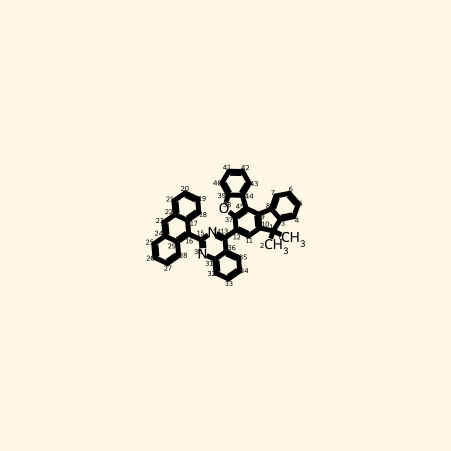 CC1(C)c2ccccc2-c2c1cc(-c1nc(-c3c4ccccc4cc4ccccc34)nc3ccccc13)c1oc3ccccc3c21